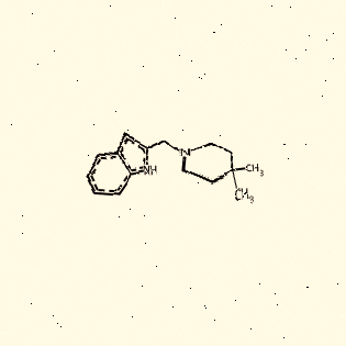 CC1(C)CCN(Cc2cc3ccccc3[nH]2)CC1